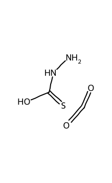 NNC(O)=S.O=C=O